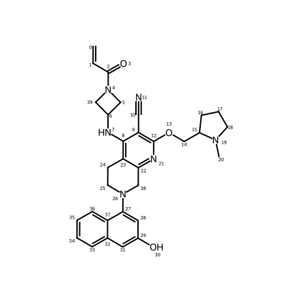 C=CC(=O)N1CC(Nc2c(C#N)c(OCC3CCCN3C)nc3c2CCN(c2cc(O)cc4ccccc24)C3)C1